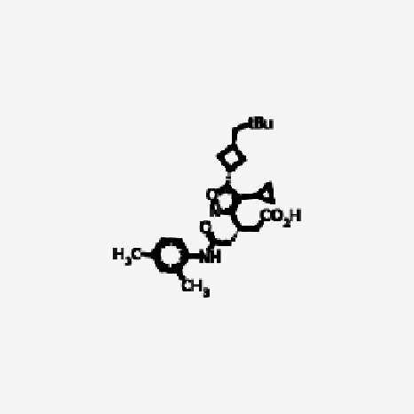 Cc1ccc(NC(=O)C[C@@H](CC(=O)O)c2noc([C@H]3C[C@H](CC(C)(C)C)C3)c2C2CC2)c(C)c1